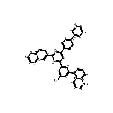 Brc1cc(-c2nc(-c3ccc(-c4cccnc4)cc3)nc(-c3ccc4ccccc4c3)n2)cc(-c2cccc3ncccc23)c1